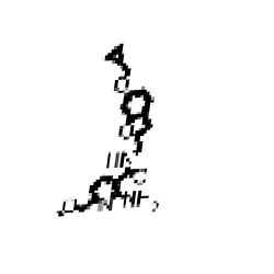 COCc1ccc(C(=O)NCc2cc3ccc(OCC4CC4)cc3o2)c(N)n1